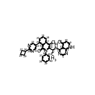 C[C@H](Nc1ncnc2[nH]ccc(=O)c12)c1c(Cl)c2cccc(-c3cnc(C4CCC4)nc3)c2c(=O)n1-c1ccccc1